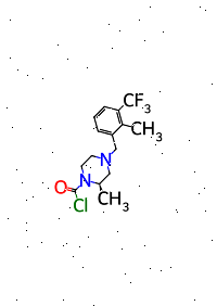 Cc1c(CN2CCN(C(=O)Cl)[C@H](C)C2)cccc1C(F)(F)F